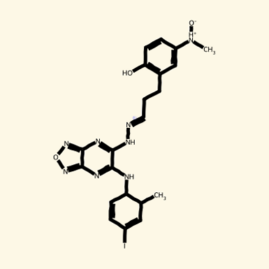 CC1C=C(I)C=CC1Nc1nc2nonc2nc1N/N=C/CCc1cc([NH+](C)[O-])ccc1O